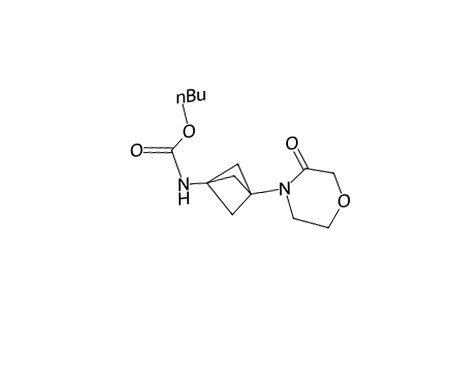 CCCCOC(=O)NC12CC(N3CCOCC3=O)(C1)C2